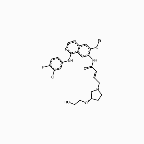 CCOc1cc2ncnc(Nc3ccc(F)c(Cl)c3)c2cc1NC(=O)/C=C/CN1CC[C@@H](OCCO)C1